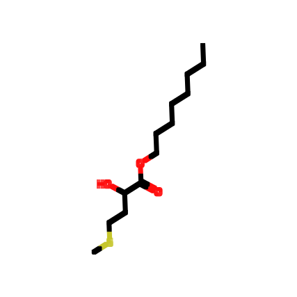 CCCCCCCCOC(=O)C(O)CCSC